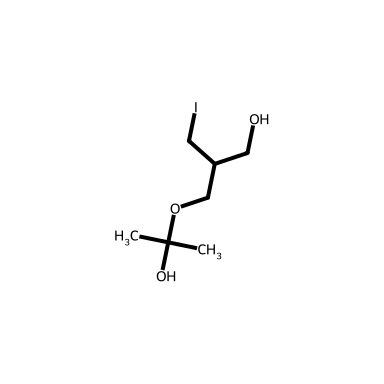 CC(C)(O)OCC(CO)CI